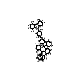 C1=CCCC(C2(c3ccc(-c4ccc(-n5c6ccccc6c6ccccc65)cc4)cc3)c3ccccc3C3(c4ccccc4)c4ccccc4-c4cccc2c43)=C1